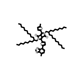 CCCCCCCCCCC(CCCCCCCC)CN1C(=O)C2=C(c3ccc(-c4ccc(C)c5nsnc45)s3)N(CC(CCCCCCCC)CCCCCCCCCC)C(=O)C2=C1c1ccc(C)s1